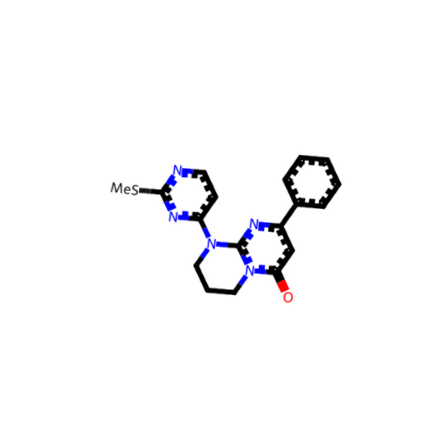 CSc1nccc(N2CCCn3c2nc(-c2ccccc2)cc3=O)n1